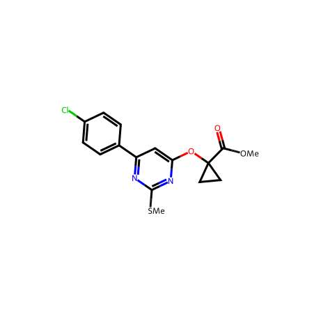 COC(=O)C1(Oc2cc(-c3ccc(Cl)cc3)nc(SC)n2)CC1